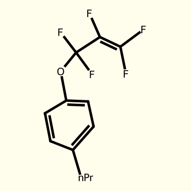 CCCc1ccc(OC(F)(F)C(F)=C(F)F)cc1